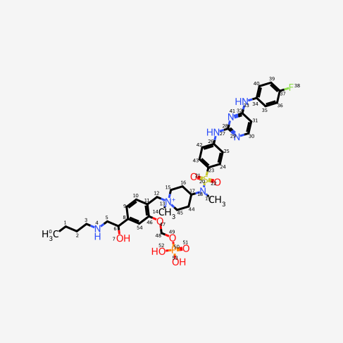 CCCCNCC(O)c1ccc(C[N+]2(C)CCC(N(C)S(=O)(=O)c3ccc(Nc4nccc(Nc5ccc(F)cc5)n4)cc3)CC2)c(OCOP(=O)(O)O)c1